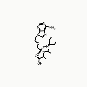 CCC(CC)=NOP(=O)(CO[C@H](C)Cn1cnc2c(N)ncnc21)N(C(C)C)[C@@H](C)C(=O)O